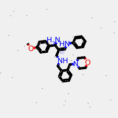 COc1ccc(C(N)/C(=C\Nc2ccccc2)CNCc2ccccc2CN2CCOCC2)cc1